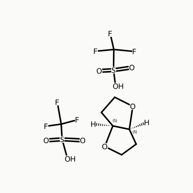 C1C[C@@H]2OCC[C@@H]2O1.O=S(=O)(O)C(F)(F)F.O=S(=O)(O)C(F)(F)F